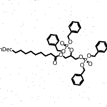 CCCCCCCCCCCCCCCCCCC(=O)OCC(COP(=O)(OCc1ccccc1)OCc1ccccc1)OP(=O)(OCc1ccccc1)OCc1ccccc1